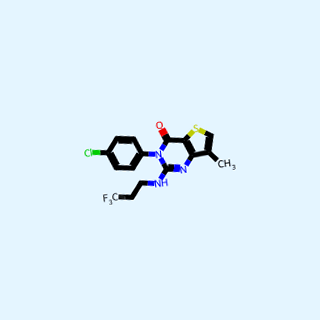 Cc1csc2c(=O)n(-c3ccc(Cl)cc3)c(NCCC(F)(F)F)nc12